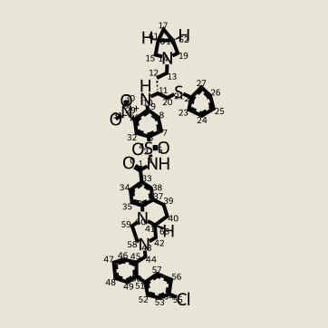 O=C(NS(=O)(=O)c1ccc(N[C@H](CCN2C[C@H]3C[C@H]3C2)CSc2ccccc2)c([N+](=O)[O-])c1)c1ccc2c(c1)CC[C@@H]1CN(Cc3ccccc3-c3ccc(Cl)cc3)CCN21